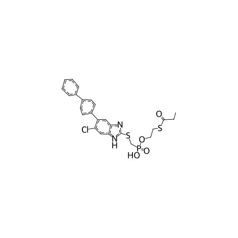 CCC(=O)SCCOP(=O)(O)CSc1nc2cc(-c3ccc(-c4ccccc4)cc3)c(Cl)cc2[nH]1